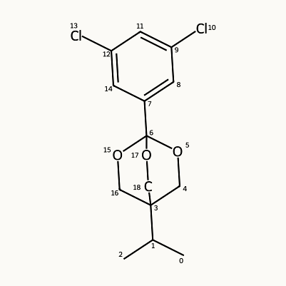 CC(C)C12COC(c3cc(Cl)cc(Cl)c3)(OC1)OC2